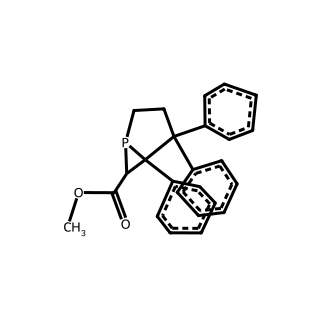 COC(=O)C1P2CCC(c3ccccc3)(c3ccccc3)C12c1ccccc1